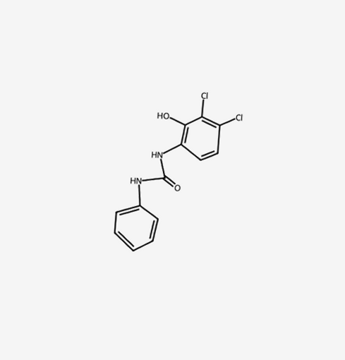 O=C(Nc1ccccc1)Nc1ccc(Cl)c(Cl)c1O